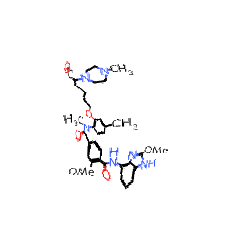 COc1nc2c(NC(=O)c3ccc(C(=O)N(C)c4ccc(C)cc4OCCCCC(=C=O)N4CCN(C)CC4)cc3OC)cccc2[nH]1